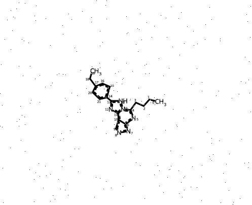 CCCCc1nc2nncc-2c2nc(-c3ccc(CC)cc3)[nH]n12